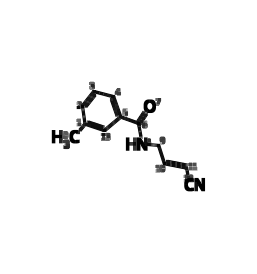 Cc1cccc(C(=O)NC/C=C/C#N)c1